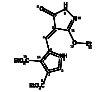 CCOC(=O)c1c[nH]c(/C=C2/C(=O)NN=C2OCC)c1C(=O)OCC